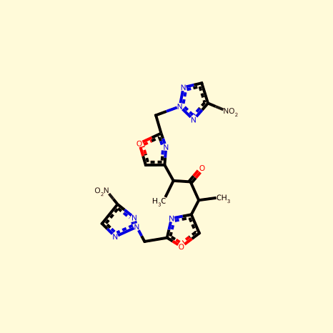 CC(C(=O)C(C)c1coc(Cn2ncc([N+](=O)[O-])n2)n1)c1coc(Cn2ncc([N+](=O)[O-])n2)n1